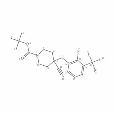 CC(C)(C)OC(=O)N1CCC(C#N)(Cc2cccc(C(F)(F)F)c2F)CC1